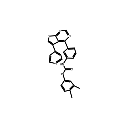 Cc1ccc(NC(=O)Nc2cccc(-c3ncnc4scc(-c5ccncc5)c34)c2)cc1C